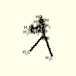 CCCCCCCCCCCCCCCC(=O)OC[C@H](COP(=O)(O)OCC(=O)N(CC(C)O[C@@H]1[C@@H](N)[C@@H](O)O[C@H](CO)[C@H]1O)C(=O)[C@H](C)N(C(C)=O)C(=O)CC[C@@H](NC(=O)[C@H](C)N)C(N)=O)OC(=O)CCCCCCCCCCCCCCC